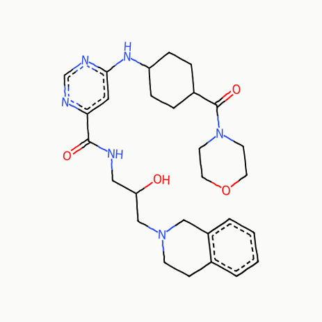 O=C(NCC(O)CN1CCc2ccccc2C1)c1cc(NC2CCC(C(=O)N3CCOCC3)CC2)ncn1